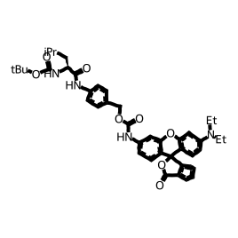 CCN(CC)c1ccc2c(c1)Oc1cc(NC(=O)OCc3ccc(NC(=O)[C@H](CC(C)C)NC(=O)OC(C)(C)C)cc3)ccc1C21OC(=O)c2ccccc21